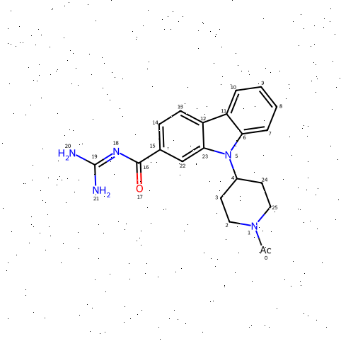 CC(=O)N1CCC(n2c3ccccc3c3ccc(C(=O)N=C(N)N)cc32)CC1